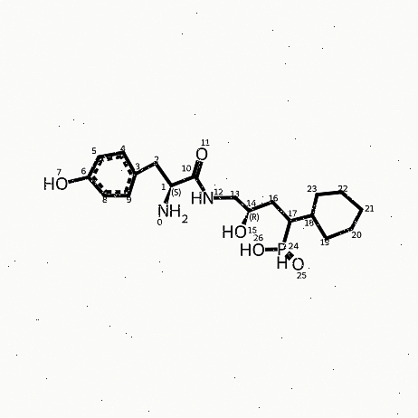 N[C@@H](Cc1ccc(O)cc1)C(=O)NC[C@H](O)CC(C1CCCCC1)[PH](=O)O